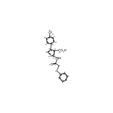 O=C(CSc1ccccc1)Nc1scc(-c2ccc(C(F)(F)F)cc2)c1C(=O)O